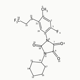 Cc1cc(F)c(N2C(=O)C(=O)N(C3CCCCC3)C2=O)cc1SCC(F)(F)F